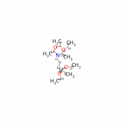 CCOC(C)N(CCC[Si](C)(OCC)OCC)C(C)OCC